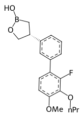 CCCOc1c(OC)ccc(-c2cccc([C@@H]3COB(O)C3)c2)c1F